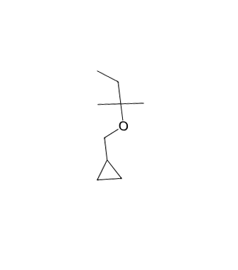 CCC(C)(C)OCC1CC1